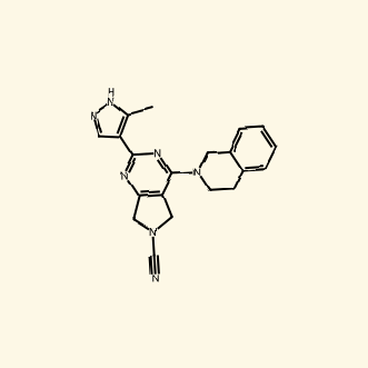 Cc1[nH]ncc1-c1nc2c(c(N3CCc4ccccc4C3)n1)CN(C#N)C2